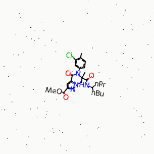 CCCCC(CCC)NC(=O)C1(C)Cn2nc(C(=O)OC)cc2C(=O)N1c1ccc(C)c(Cl)c1